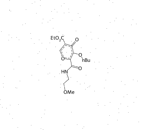 CCCCOc1c(C(=O)NCCOC)occ(C(=O)OCC)c1=O